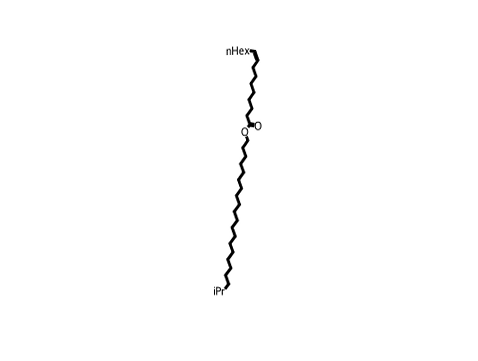 CCCCCC/C=C\CCCCCCCC(=O)OCCCCCCCCCCCCCCCCCCCC(C)C